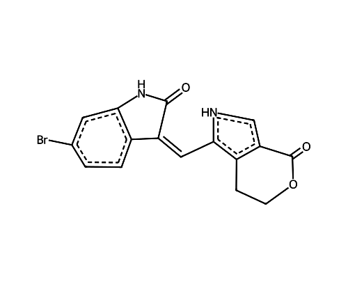 O=C1Nc2cc(Br)ccc2C1=Cc1[nH]cc2c1CCOC2=O